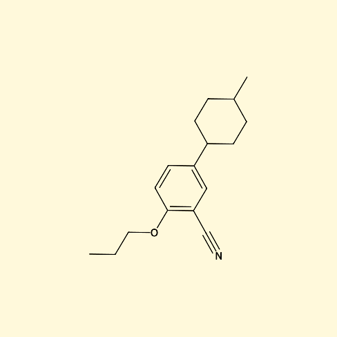 CCCOc1ccc(C2CCC(C)CC2)cc1C#N